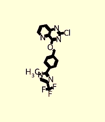 Cn1cc(C(F)(F)F)nc1-c1ccc(COc2nc(Cl)nc3cccnc23)cc1